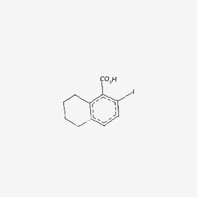 O=C(O)c1c(I)ccc2c1CCCC2